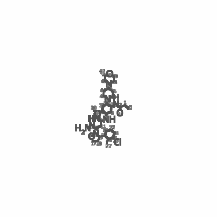 C=CC(=O)Nc1cc(NC(=N)/C=C(\NN)N2OCC[C@@H]2c2cccc(Cl)c2C)c(OC)cc1N1CCC(N2CCO[C@@H](C)C2)CC1